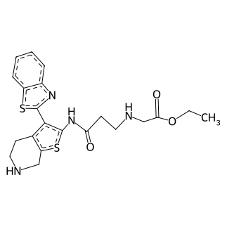 CCOC(=O)CNCCC(=O)Nc1sc2c(c1-c1nc3ccccc3s1)CCNC2